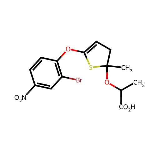 CC(OC1(C)CC=C(Oc2ccc([N+](=O)[O-])cc2Br)S1)C(=O)O